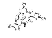 CN1CC2CN(c3cc(C#N)cc(Nc4nc(NC5CC5)c5ncc(C#N)n5n4)c3Cl)CC2C1